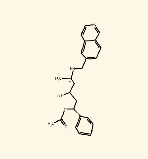 CC(=O)OC(CC(N)C[C@@H](C)NCc1ccc2cnccc2c1)c1ccccc1